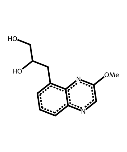 COc1cnc2cccc(CC(O)CO)c2n1